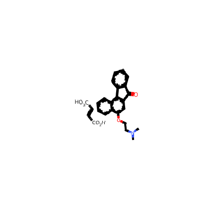 CN(C)CCOc1cc2c(c3ccccc13)-c1ccccc1C2=O.O=C(O)C=CC(=O)O